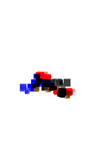 C[S+]([O-])c1ccc(OCC2=C(C(=O)O)N3C(=O)C(NC(=O)/C(=N\O)c4csc(N)n4)[C@H]3SC2)cc1